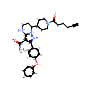 C#CCCCC(=O)N1CCC(C2CCNc3c(C(N)=O)c(-c4ccc(Oc5ccccc5)cc4)nn32)CC1